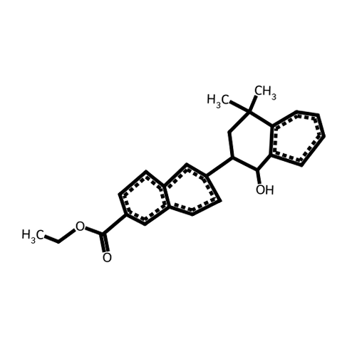 CCOC(=O)c1ccc2cc(C3CC(C)(C)c4ccccc4C3O)ccc2c1